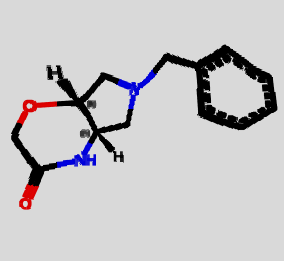 O=C1CO[C@@H]2CN(Cc3ccccc3)C[C@@H]2N1